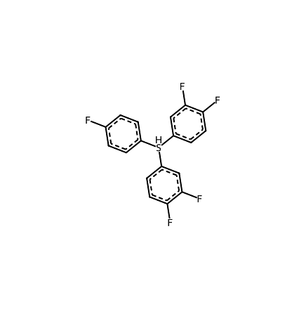 Fc1ccc([SH](c2ccc(F)c(F)c2)c2ccc(F)c(F)c2)cc1